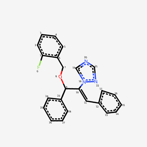 Fc1ccccc1COC(C(=Cc1ccccc1)n1cncn1)c1ccccc1